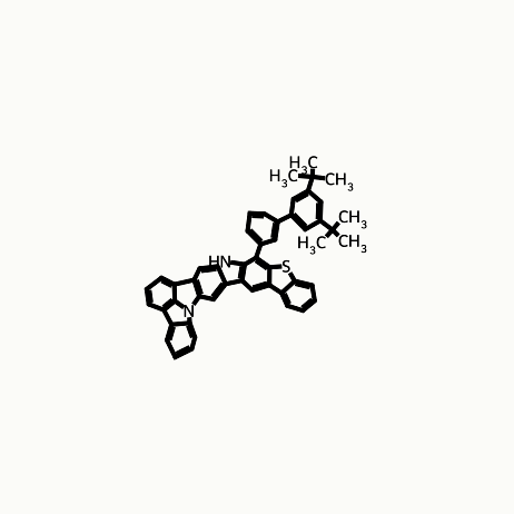 CC(C)(C)c1cc(-c2cccc(-c3c4[nH]c5cc6c7cccc8c9ccccc9n(c6cc5c4cc4c3sc3ccccc34)c87)c2)cc(C(C)(C)C)c1